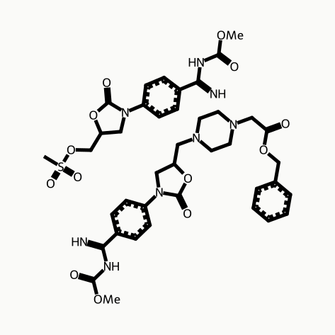 COC(=O)NC(=N)c1ccc(N2CC(CN3CCN(CC(=O)OCc4ccccc4)CC3)OC2=O)cc1.COC(=O)NC(=N)c1ccc(N2CC(COS(C)(=O)=O)OC2=O)cc1